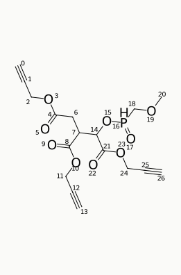 C#CCOC(=O)CC(C(=O)OCC#C)C(O[PH](=O)COC)C(=O)OCC#C